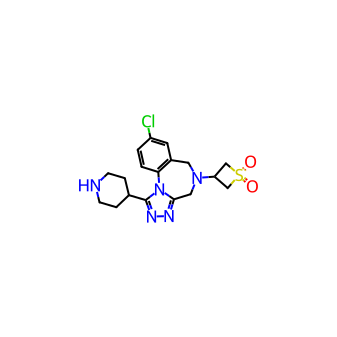 O=S1(=O)CC(N2Cc3cc(Cl)ccc3-n3c(nnc3C3CCNCC3)C2)C1